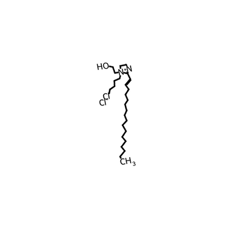 CCCCCCCCCCCCCCCC=CC1=NCC[N+]1(CCO)CCCCCl.[Cl-]